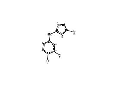 Clc1ccc(Nc2ncc(Br)s2)cc1Cl